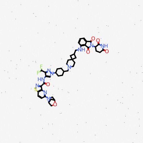 O=C1CCC(N2C(=O)c3cccc(NCC4CC5(CCN(CC6CCC(n7cc(NC(=O)c8nsc9ccc(N%10CC%11CC%10CO%11)nc89)c(C(F)F)n7)CC6)CC5)C4)c3C2=O)C(=O)N1